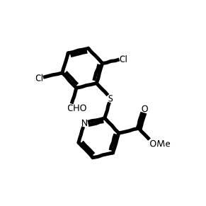 COC(=O)c1cccnc1Sc1c(Cl)ccc(Cl)c1C=O